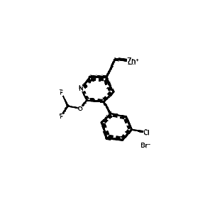 FC(F)Oc1ncc([CH2][Zn+])cc1-c1cccc(Cl)c1.[Br-]